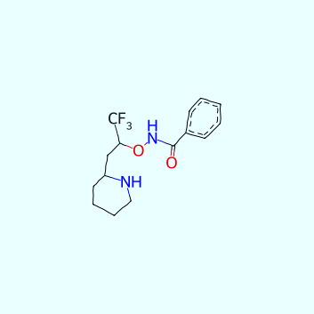 O=C(NOC(CC1CCCCN1)C(F)(F)F)c1ccccc1